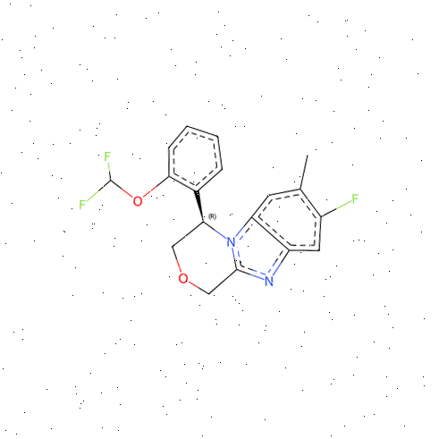 Cc1cc2c(cc1F)nc1n2[C@H](c2ccccc2OC(F)F)COC1